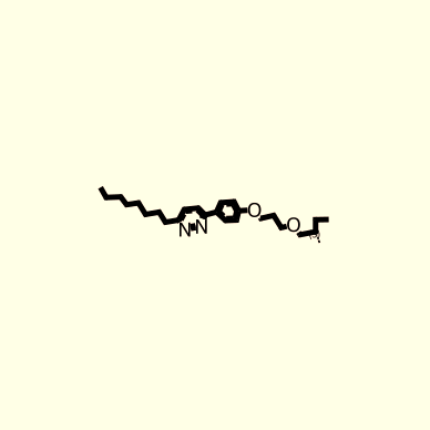 CCCCCCCCc1ccc(-c2ccc(OCCCOC[C@@H](C)CC)cc2)nn1